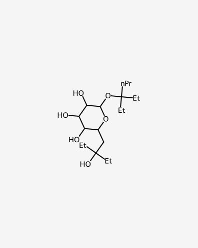 CCCC(CC)(CC)OC1OC(CC(O)(CC)CC)C(O)C(O)C1O